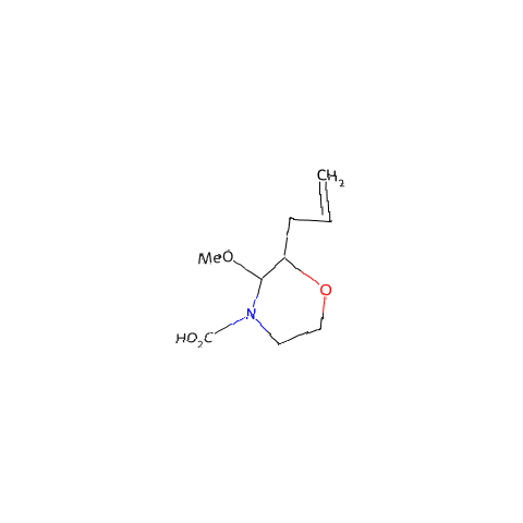 C=CCC1OCCN(C(=O)O)C1OC